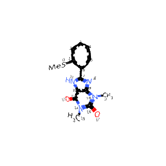 CSc1ccccc1-c1nc2c([nH]1)c(=O)n(C)c(=O)n2C